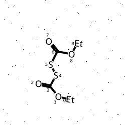 CCOC(=O)SSC(=O)OCC